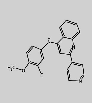 COc1ccc(Nc2cc(-c3ccncc3)nc3ccccc23)cc1F